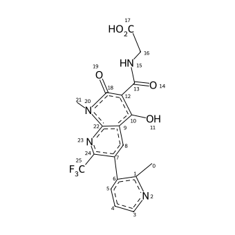 Cc1ncccc1-c1cc2c(O)c(C(=O)NCC(=O)O)c(=O)n(C)c2nc1C(F)(F)F